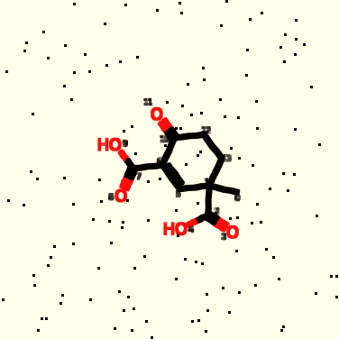 CC1(C(=O)O)C=C(C(=O)O)C(=O)CC1